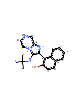 CC(C)(C)Nc1c(-c2c(O)ccc3ccccc23)nc2cnccn12